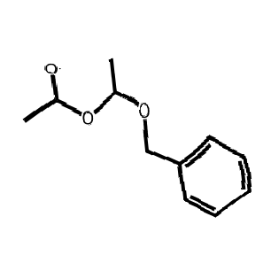 CC([O])OC(C)OCc1ccccc1